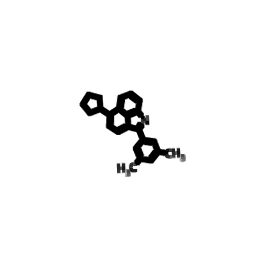 Cc1cc(C)cc(C2=Nc3cccc4c(C5CCCC5)ccc2c34)c1